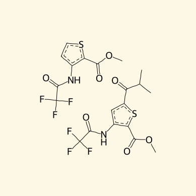 COC(=O)c1sc(C(=O)C(C)C)cc1NC(=O)C(F)(F)F.COC(=O)c1sccc1NC(=O)C(F)(F)F